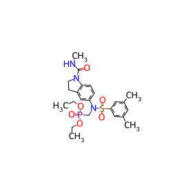 CCOP(=O)(CN(c1ccc2c(c1)CCN2C(=O)NC)S(=O)(=O)c1cc(C)cc(C)c1)OCC